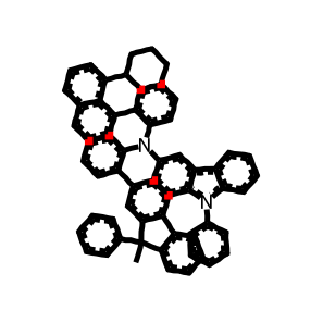 CC1(c2ccccc2)c2ccccc2-c2ccc(-c3ccccc3N(c3ccc4c(c3)c3ccccc3n4-c3ccccc3)c3ccccc3-c3cccc4cccc(C5CCCCC5)c34)cc21